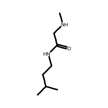 CNCC(=O)NCCC(C)C